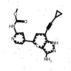 COC(=O)Nc1cc(-c2cc(C#CC3CC3)c3[nH]nc(N)c3c2)ccn1